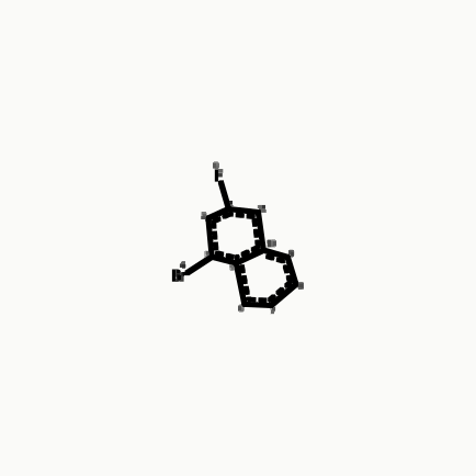 Fc1cc(Br)c2ccccc2c1